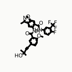 COc1ccc(C#CC(C)(C)O)cc1C(=O)Nc1cc2c(C)noc2cc1C(=O)Nc1ccc(F)c(C(F)(F)F)c1